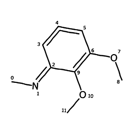 C/N=C1\C=C=CC(OC)=C1OC